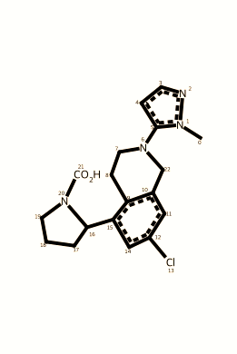 Cn1nccc1N1CCc2c(cc(Cl)cc2C2CCCN2C(=O)O)C1